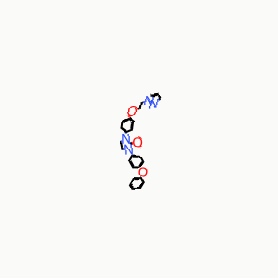 O=c1n(-c2ccc(OCCn3cccn3)cc2)ccn1-c1ccc(Oc2ccccc2)cc1